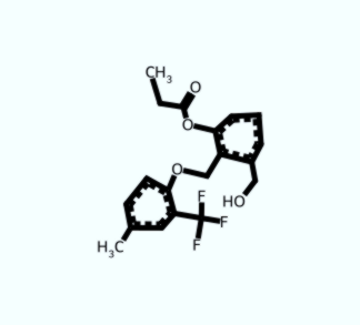 CCC(=O)Oc1cccc(CO)c1COc1ccc(C)cc1C(F)(F)F